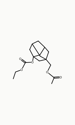 CCOC(=O)OC12CC3CC(CC(COC(C)=O)(C3)C1)C2